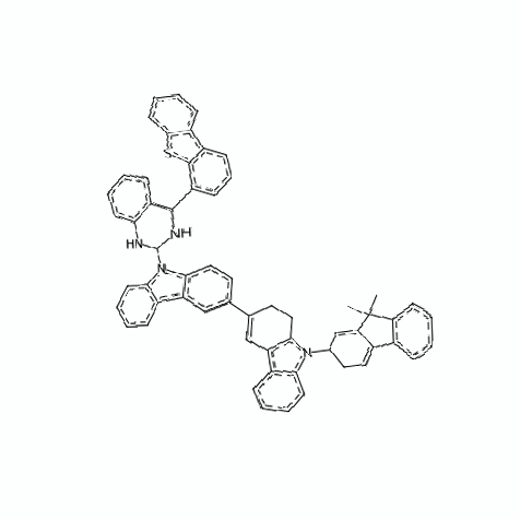 CC1(C)C2=CC(n3c4c(c5ccccc53)C=C(c3ccc5c(c3)c3ccccc3n5C3Nc5ccccc5C(c5cccc6c5sc5ccccc56)N3)CC4)CC=C2c2ccccc21